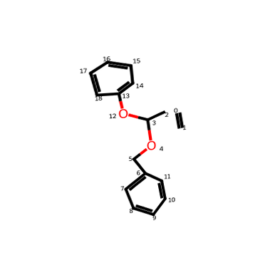 C=C.CC(OCc1ccccc1)Oc1ccccc1